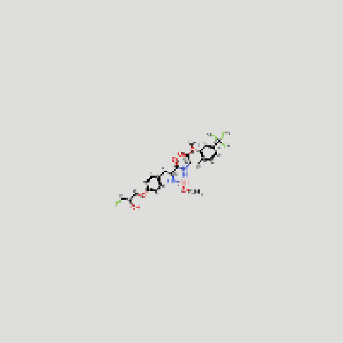 COBN[C@@H](Cc1ccc(OCC(O)CF)cc1)C(=O)N[C@@H](Cc1ccc(C(F)(F)F)cc1)C(=O)OC